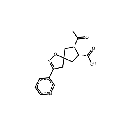 CC(=O)N1CC2(CC(c3cccnc3)=NO2)C[C@H]1C(=O)O